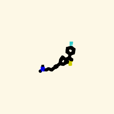 CN(C)CCCC#Cc1ccc2c(-c3ccc(F)cc3)csc2c1